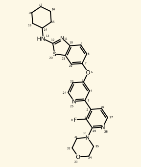 Fc1c(-c2cc(Oc3ccc4nc(NC5CCCCC5)sc4c3)ccn2)ccnc1N1CCOCC1